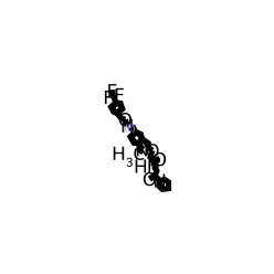 Cn1c(OCC(=O)NCC(=O)N2CCCCC2)cc2cc(/C=N/OCc3ccc(C(F)(F)F)cc3)ccc21